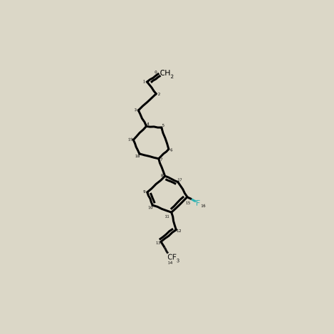 C=CCCC1CCC(c2ccc(/C=C/C(F)(F)F)c(F)c2)CC1